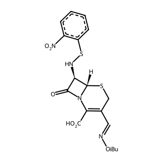 CC(C)CON=CC1=C(C(=O)O)N2C(=O)[C@@H](NSc3ccccc3[N+](=O)[O-])[C@@H]2SC1